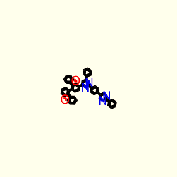 c1ccc(-c2cc(-c3ccc(-c4cccc5oc6ccccc6c45)c4c3oc3ccccc34)nc(-c3ccc(-c4cnc(-c5ccccc5)nc4)cc3)n2)cc1